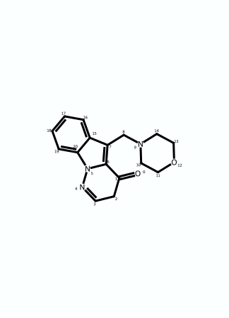 O=C1CC=Nn2c1c(CN1CCOCC1)c1ccccc12